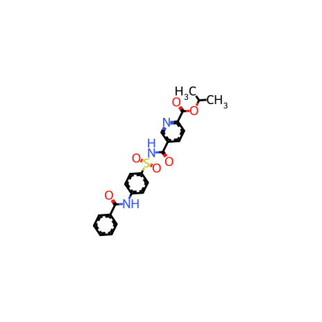 CC(C)OC(=O)c1ccc(C(=O)NS(=O)(=O)c2ccc(NC(=O)c3ccccc3)cc2)cn1